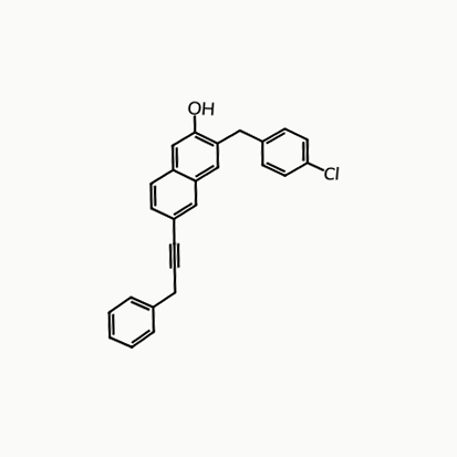 Oc1cc2ccc(C#CCc3ccccc3)cc2cc1Cc1ccc(Cl)cc1